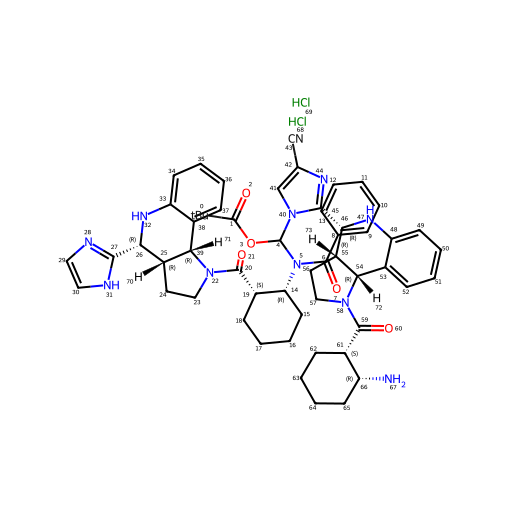 CC(C)(C)C(=O)OC(N(C(=O)c1ccccc1)[C@@H]1CCCC[C@@H]1C(=O)N1CC[C@@H]2[C@H](c3ncc[nH]3)Nc3ccccc3[C@@H]21)n1cc(C#N)nc1[C@@H]1Nc2ccccc2[C@H]2[C@@H]1CCN2C(=O)[C@H]1CCCC[C@H]1N.Cl.Cl